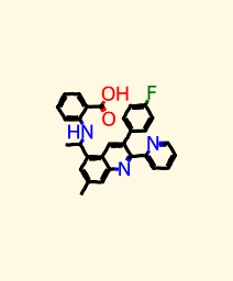 Cc1cc(C(C)Nc2ccccc2C(=O)O)c2cc(-c3ccc(F)cc3)c(-c3ccccn3)nc2c1